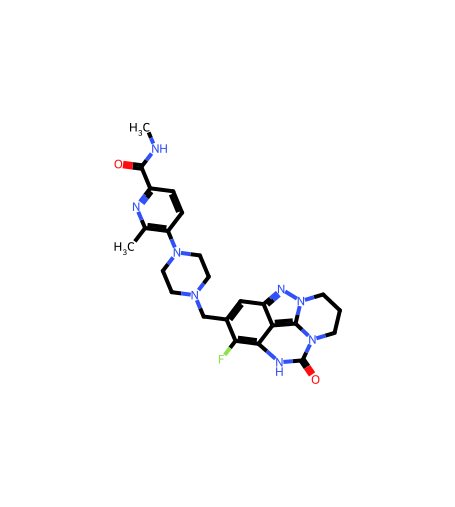 CNC(=O)c1ccc(N2CCN(Cc3cc4nn5c6c4c(c3F)NC(=O)N6CCC5)CC2)c(C)n1